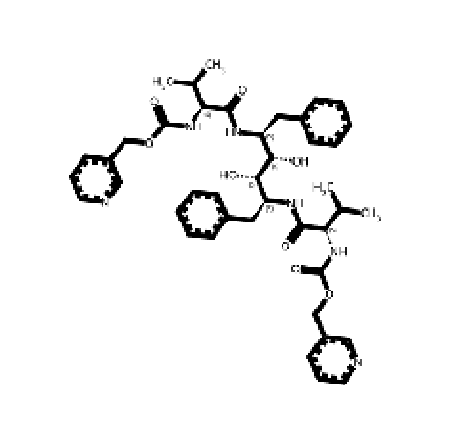 CC(C)[C@H](NC(=O)OCc1cccnc1)C(=O)N[C@@H](Cc1ccccc1)[C@H](O)[C@@H](O)[C@H](Cc1ccccc1)NC(=O)[C@@H](NC(=O)OCc1cccnc1)C(C)C